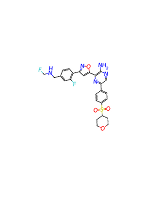 Nc1ncc(-c2ccc(S(=O)(=O)C3CCOCC3)cc2)nc1-c1cc(-c2ccc(CNCF)cc2F)no1